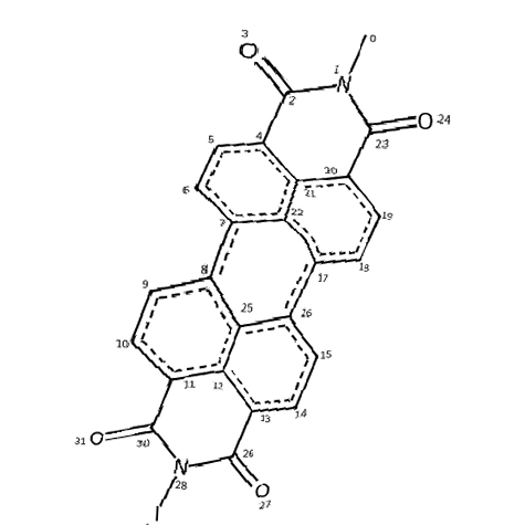 CN1C(=O)c2ccc3c4ccc5c6c(ccc(c7ccc(c2c37)C1=O)c64)C(=O)N(I)C5=O